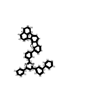 C1=CC2c3ccc4c(c3OC2C(c2cccc(-c3nc(-c5ccccc5)cc(-c5cccc(-c6ccccc6)c5)n3)c2)=C1)-c1cccc2cccc-4c12